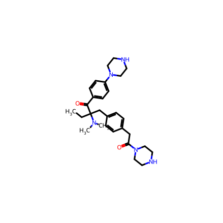 CCC(Cc1ccc(CC(=O)N2CCNCC2)cc1)(C(=O)c1ccc(N2CCNCC2)cc1)N(C)C